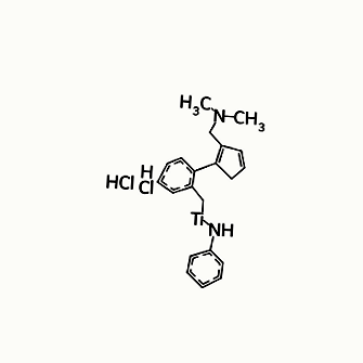 CN(C)CC1=C(c2ccccc2[CH2][Ti][NH]c2ccccc2)CC=C1.Cl.Cl